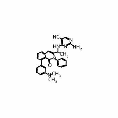 C[C@H](Nc1nc(N)ncc1C#N)c1cc2cccc(-c3cccc(N(C)C)c3)c2c(=O)n1-c1ccccc1